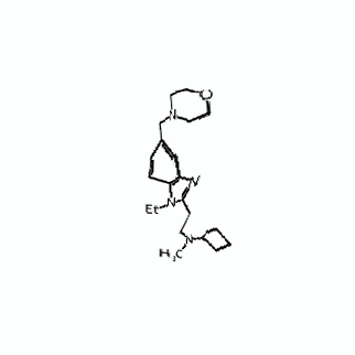 CCn1c(CCN(C)C2CCC2)nc2cc(CN3CCOCC3)ccc21